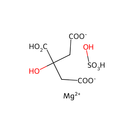 O=C([O-])CC(O)(CC(=O)[O-])C(=O)O.O=S(=O)(O)O.[Mg+2]